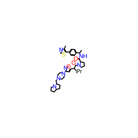 Cc1ncsc1-c1ccc(C(C)NC(=O)C2CCCN2C(=O)C(c2cc(N3CCN(CC4CCC5CCCN54)CC3)no2)C(C)C)cc1